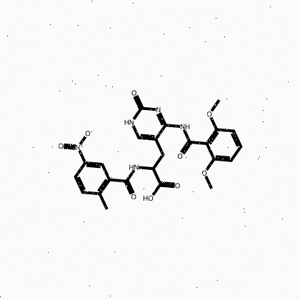 COc1cccc(OC)c1C(=O)Nc1nc(=O)[nH]cc1CC(NC(=O)c1cc([N+](=O)[O-])ccc1C)C(=O)O